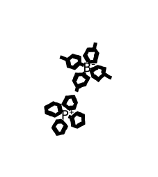 Cc1ccc([B-](c2ccc(C)cc2)(c2ccc(C)cc2)c2ccc(C)cc2)cc1.c1ccc([P+](c2ccccc2)(c2ccccc2)c2ccccc2)cc1